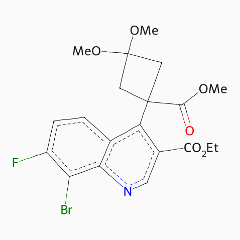 CCOC(=O)c1cnc2c(Br)c(F)ccc2c1C1(C(=O)OC)CC(OC)(OC)C1